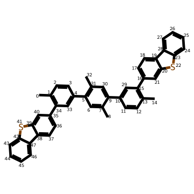 Cc1ccc(-c2cc(C)c(-c3ccc(C)c(-c4ccc5c(c4)sc4ccccc45)c3)cc2C)cc1-c1ccc2c(c1)sc1ccccc12